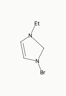 CCN1C=CN(Br)C1